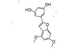 COc1cc(OC)c2cc(-c3cc(O)cc(O)c3)oc2c1